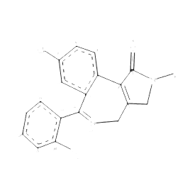 CN1CC2=C(C1=O)c1ccc(Cl)cc1C(c1ccccc1Cl)=NC2